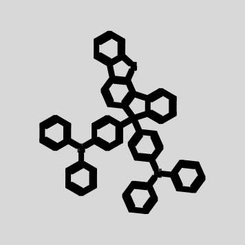 c1ccc(N(c2ccccc2)c2ccc(C3(c4ccc(N(c5ccccc5)c5ccccc5)cc4)c4ccccc4-c4c3ccc3c4sc4ccccc43)cc2)cc1